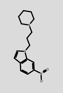 O=[N+]([O-])c1ccc2ccn(CCCN3CCCCC3)c2c1